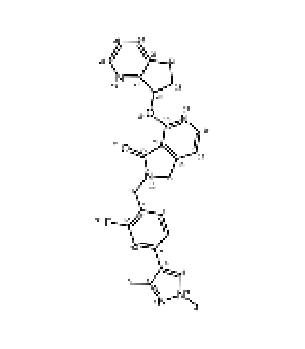 Cc1nn(C)cc1-c1ccc(CN2Cc3ccnc(OC4CCc5cccnc54)c3C2=O)c(F)c1